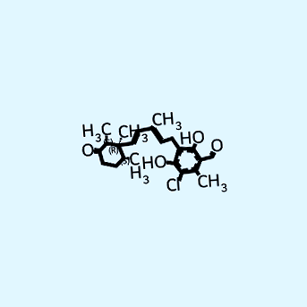 CC(C=C[C@]1(C)[C@H](C)C(=O)CC[C@@H]1C)=CCc1c(O)c(Cl)c(C)c(C=O)c1O